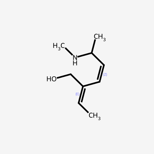 C/C=C(\C=C/C(C)NC)CO